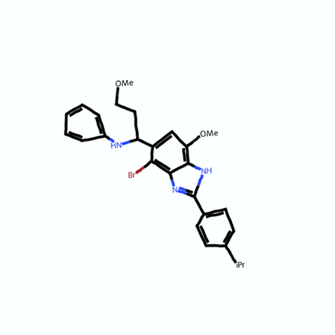 COCCC(Nc1ccccc1)c1cc(OC)c2[nH]c(-c3ccc(C(C)C)cc3)nc2c1Br